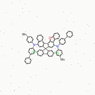 CC(C)(C)c1ccc(N(c2ccc(-c3ccccc3)cc2)c2cc3c(c4ccccc24)-c2c(cc(N(c4ccc(-c5ccccc5)cc4)c4ccc(C(C)(C)C)cc4)c4c2oc2ccccc24)C32c3cc(Cl)ccc3-c3ccc(Cl)cc32)cc1